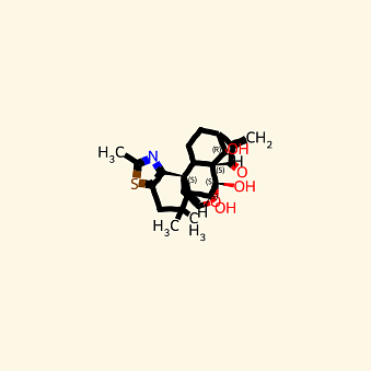 C=C1C(=O)[C@@]23C(CCC1[C@H]2O)[C@@]12C=CO[C@]3(O)[C@@H](O)C1C(C)(C)Cc1sc(C)nc12